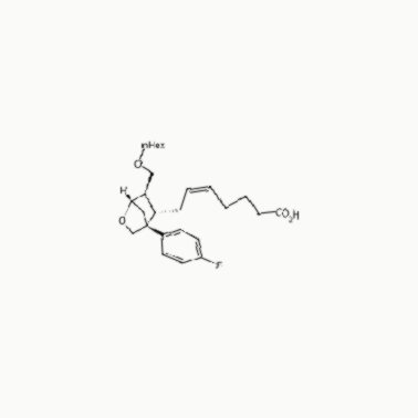 CCCCCCOC[C@@H]1[C@@H]2C[C@@](c3ccc(F)cc3)(CO2)[C@H]1C/C=C\CCCC(=O)O